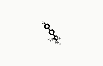 Nc1[nH]nc(C2CCC(c3ccc(Cl)cc3)CC2)c1N